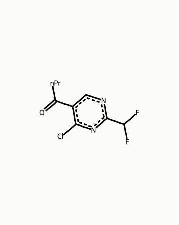 CCCC(=O)c1cnc(C(F)F)nc1Cl